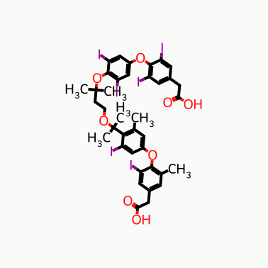 Cc1cc(CC(=O)O)cc(I)c1Oc1cc(C)c(C(C)(C)OCCC(C)(C)Oc2c(I)cc(Oc3c(I)cc(CC(=O)O)cc3I)cc2I)c(I)c1